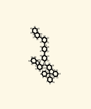 c1ccc(C2(c3ccccc3)c3ccccc3-c3ccc(N(c4ccc(-c5ccc(-c6cccc(-c7ccc8ccccc8c7)c6)cc5)cc4)c4cccc5c4oc4ccccc45)cc32)cc1